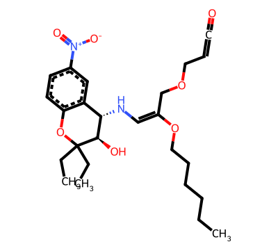 CCCCCCO/C(=C/N[C@H]1c2cc([N+](=O)[O-])ccc2OC(CC)(CC)[C@@H]1O)COCC=C=O